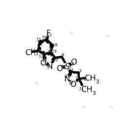 CC1(C)CC(S(=O)(=O)Cc2noc3c(Cl)cc(F)cc23)=NO1